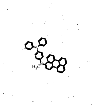 CN(c1ccc(N(c2ccccc2)c2ccccc2)cc1)c1ccc2c3cccc4cccc(c5cccc1c52)c43